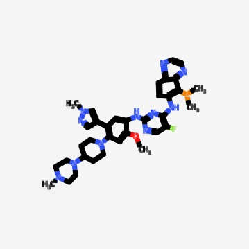 COc1cc(N2CCC(N3CCN(C)CC3)CC2)c(-c2cnn(C)c2)cc1Nc1ncc(F)c(Nc2ccc3nccnc3c2P(C)C)n1